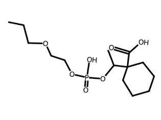 CCCOCCOP(=O)(O)OC(C)C1(C(=O)O)CCCCC1